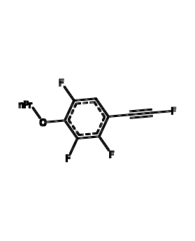 CCCOc1c(F)cc(C#CF)c(F)c1F